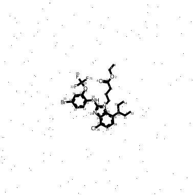 CCOC(=O)CCCn1c(Nc2ccc(Br)cc2OC(F)(F)F)nc2c(Cl)ccc(C(CC)CC)c21